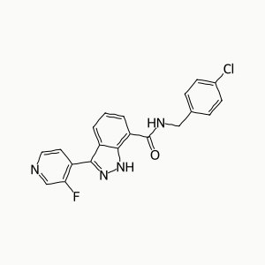 O=C(NCc1ccc(Cl)cc1)c1cccc2c(-c3ccncc3F)n[nH]c12